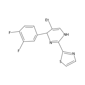 [CH2]CC1=CNC(c2nccs2)=NC1c1ccc(F)c(F)c1